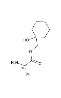 CC(C)[C@H](N)C(=O)OCC1(O)CCCCC1